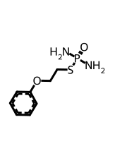 NP(N)(=O)SCCOc1ccccc1